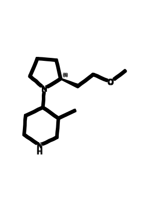 COCC[C@@H]1CCCN1C1CCNCC1C